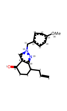 C=CCC1CCC(=O)c2cn(Cc3ccc(OC)cc3)nc21